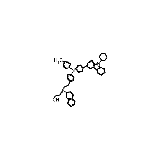 CCCCN(CCc1ccc(N(c2ccc(C)cc2)c2ccc(-c3ccc4c(c3)c3ccccc3n4C3CCCCC3)cc2)cc1)c1ccc2ccccc2c1